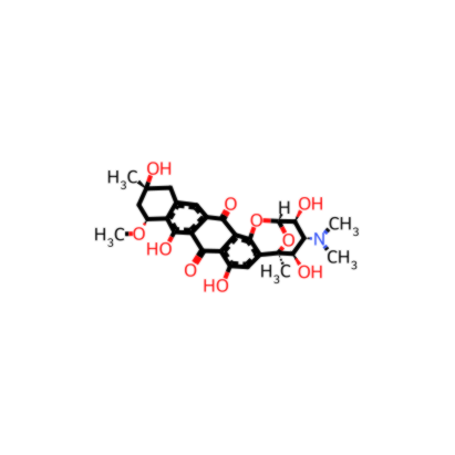 CO[C@@H]1C[C@](C)(O)Cc2cc3c(c(O)c21)C(=O)c1c(O)cc2c(c1C3=O)O[C@@H]1O[C@@]2(C)[C@H](O)[C@@H](N(C)C)[C@@H]1O